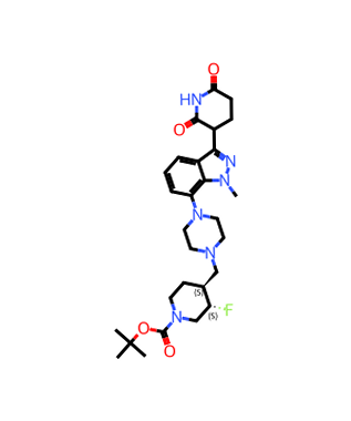 Cn1nc(C2CCC(=O)NC2=O)c2cccc(N3CCN(C[C@@H]4CCN(C(=O)OC(C)(C)C)C[C@H]4F)CC3)c21